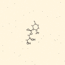 CC1CCC(C(C)C)C(C(=O)OCC(O)CO)C1